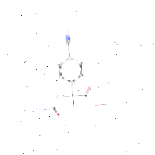 CCOC(=O)C(C)(NC(N)=O)c1ccc(C#N)cc1